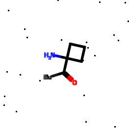 CCC(C)C(=O)C1(N)CCC1